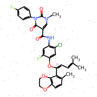 CC(C)=C/C=C(/Oc1cc(Cl)c(NC(=O)c2cn(C)c(=O)n(-c3ccc(F)cc3)c2=O)cc1F)c1c(C)ccc2c1OCCO2